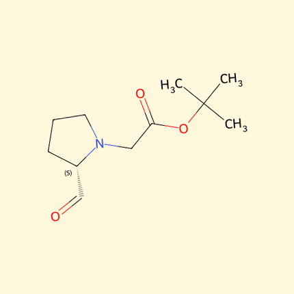 CC(C)(C)OC(=O)CN1CCC[C@H]1C=O